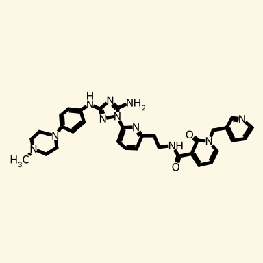 CN1CCN(c2ccc(Nc3nc(N)n(-c4cccc(CCNC(=O)c5cccn(Cc6cccnc6)c5=O)n4)n3)cc2)CC1